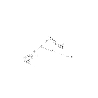 CN(Cc1cnc2nc(N)nc(N)c2n1)c1ccc(C(=O)N[C@@H](CCC(=O)NCCCCCN(CCCCCNC(=O)CC[C@@H](NC(=O)c2ccc(N(C)Cc3cnc4nc(N)nc(N)c4n3)cc2)C(=O)O)CCOCCOCCNC(=O)CCOCCOCCOCCOCCN=[N+]=[N-])C(=O)O)cc1